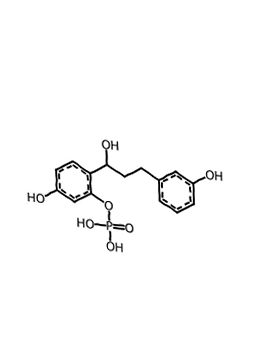 O=P(O)(O)Oc1cc(O)ccc1C(O)CCc1cccc(O)c1